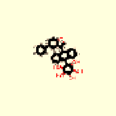 Oc1c(O)c(O)c(-c2c3ccccc3c(-c3coc4ccc(-c5ccccc5)cc34)c3ccccc23)c(O)c1O